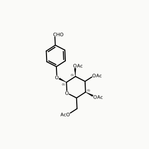 CC(=O)OCC1O[C@@H](Oc2ccc(C=O)cc2)[C@@H](OC(C)=O)C(OC(C)=O)[C@H]1OC(C)=O